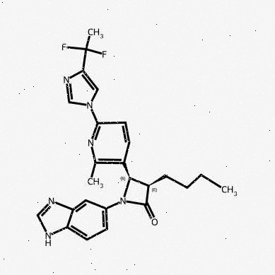 CCCC[C@H]1C(=O)N(c2ccc3[nH]cnc3c2)[C@H]1c1ccc(-n2cnc(C(C)(F)F)c2)nc1C